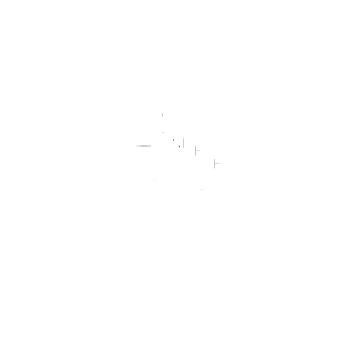 O=C1Nc2c(cc(-c3ccccc3)cc2C(F)(F)F)C1=O